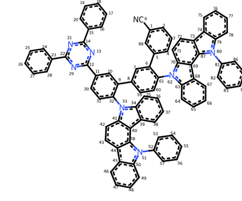 N#Cc1cccc(-c2cc(-c3cc(-c4nc(-c5ccccc5)nc(-c5ccccc5)n4)ccc3-n3c4ccccc4c4c3ccc3c5ccccc5n(-c5ccccc5)c34)ccc2-n2c3ccccc3c3c2ccc2c4ccccc4n(-c4ccccc4)c23)c1